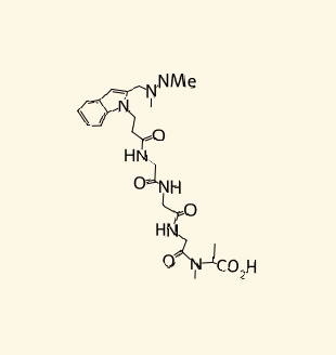 CNN(C)Cc1cc2ccccc2n1CCC(=O)NCC(=O)NCC(=O)NCC(=O)N(C)C(C)C(=O)O